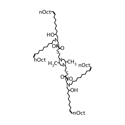 CCCCCCCC/C=C\CCCCCCC(O)CN(CCC(=O)SCCN1CC(C)N(CCSC(=O)CCN(CC(O)CCCCCC/C=C\CCCCCCCC)CC(O)CCCCCC/C=C\CCCCCCCC)CC1C)CC(O)CCCCCC/C=C\CCCCCCCC